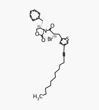 CCCCCCCCCCC#Cc1csc(C[C@H](Br)C(=O)N2C(=O)OC[C@@H]2Cc2ccccc2)c1